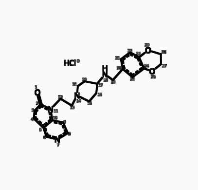 Cl.O=c1ccc2cnccc2n1CCN1CCC(NCc2ccc3c(c2)OCCO3)CC1